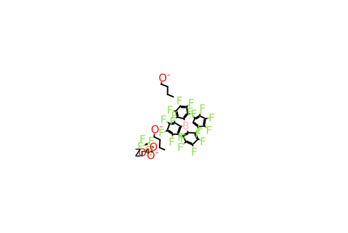 CCCC[O-].CCCC[O-].Fc1c(F)c(F)c([B-](c2c(F)c(F)c(F)c(F)c2F)(c2c(F)c(F)c(F)c(F)c2F)c2c(F)c(F)c(F)c(F)c2F)c(F)c1F.O=S(=O)([O-])C(F)(F)F.[Zr+4]